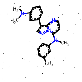 Cc1cccc(N(C)c2ccnc3c(-c4cccc(N(C)C)c4)cnn23)c1